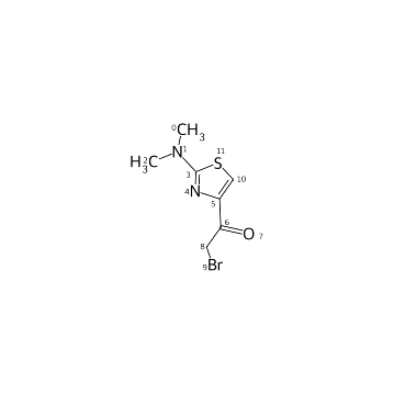 CN(C)c1nc(C(=O)CBr)cs1